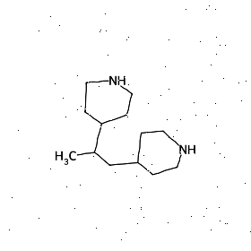 CC(CC1CCNCC1)C1CCNCC1